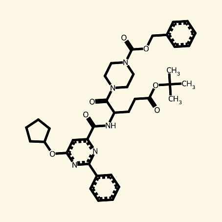 CC(C)(C)OC(=O)CCC(NC(=O)c1cc(OC2CCCC2)nc(-c2ccccc2)n1)C(=O)N1CCN(C(=O)OCc2ccccc2)CC1